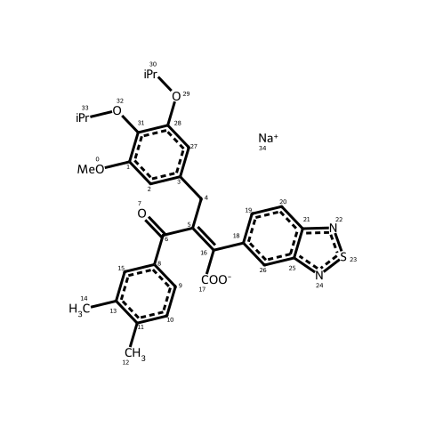 COc1cc(CC(C(=O)c2ccc(C)c(C)c2)=C(C(=O)[O-])c2ccc3nsnc3c2)cc(OC(C)C)c1OC(C)C.[Na+]